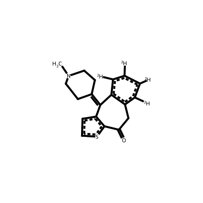 [2H]c1c([2H])c([2H])c2c(c1[2H])CC(=O)c1sccc1C2=C1CCN(C)CC1